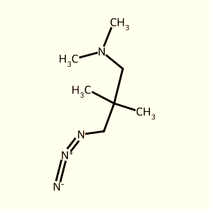 CN(C)CC(C)(C)CN=[N+]=[N-]